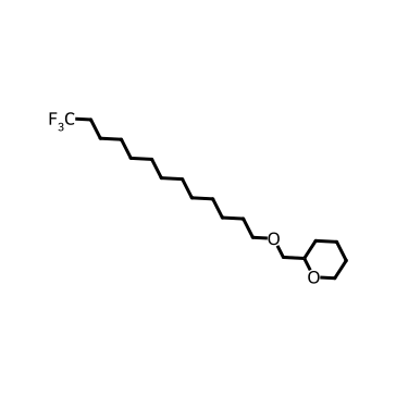 FC(F)(F)CCCCCCCCCCCCOCC1CCCCO1